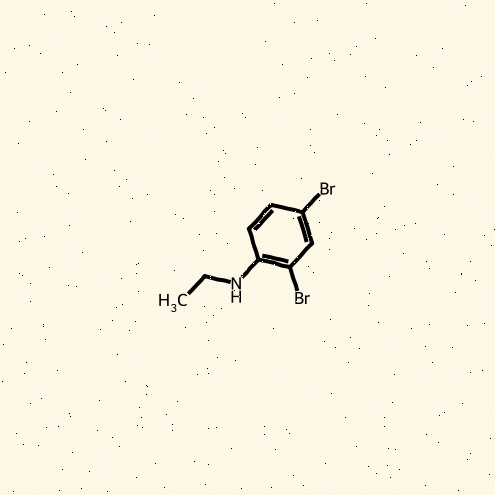 CCNc1ccc(Br)cc1Br